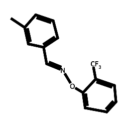 Cc1cccc(/C=N/Oc2ccccc2C(F)(F)F)c1